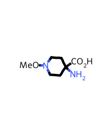 CON1CCC(N)(C(=O)O)CC1